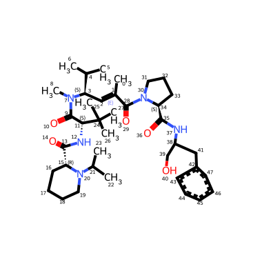 C/C(=C\[C@H](C(C)C)N(C)C(=O)[C@@H](NC(=O)[C@H]1CCCCN1C(C)C)C(C)(C)C)C(=O)N1CCC[C@H]1C(=O)NC(CO)Cc1ccccc1